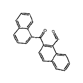 O=[C]c1c(C(=O)c2cccc3ccccc23)ccc2ccccc12